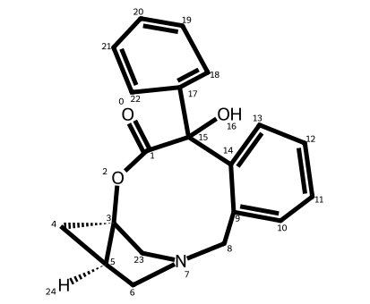 O=C1O[C@]23C[C@@H]2CN(Cc2ccccc2C1(O)c1ccccc1)C3